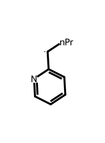 CCC[CH]c1ccccn1